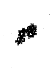 CC(C)(C)OC(=O)N1CCC2CN(C(=O)c3cccc(F)c3-n3nccn3)C2C1